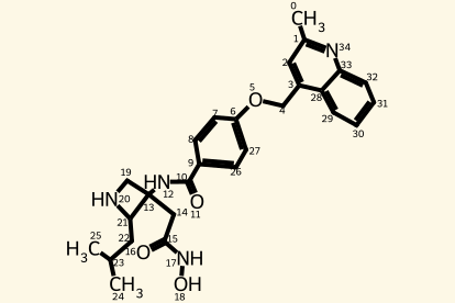 Cc1cc(COc2ccc(C(=O)NC3(CC(=O)NO)CNC3CC(C)C)cc2)c2ccccc2n1